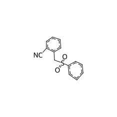 N#Cc1ccccc1CS(=O)(=O)c1ccccc1